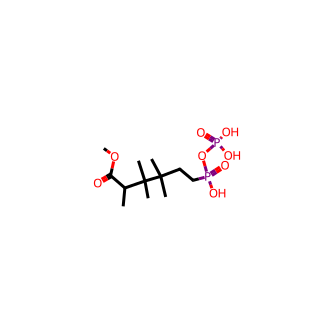 COC(=O)C(C)C(C)(C)C(C)(C)CCP(=O)(O)OP(=O)(O)O